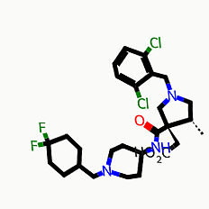 C[C@H]1CN(Cc2c(Cl)cccc2Cl)C[C@@]1(CC(=O)O)C(=O)NC1CCN(CC2CCC(F)(F)CC2)CC1